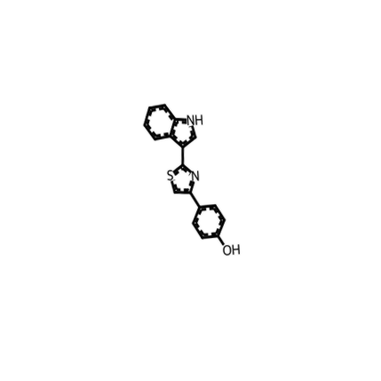 Oc1ccc(-c2csc(-c3c[nH]c4ccccc34)n2)cc1